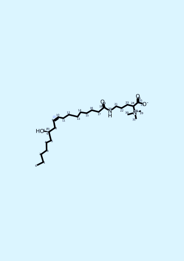 CCCCCC[C@@H](O)C/C=C\CCCCCCCC(=O)NCCCC(C(=O)[O-])[N+](C)(C)C